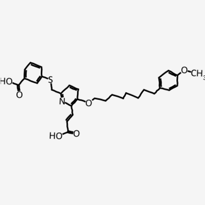 COc1ccc(CCCCCCCCOc2ccc(CSc3cccc(C(=O)O)c3)nc2C=CC(=O)O)cc1